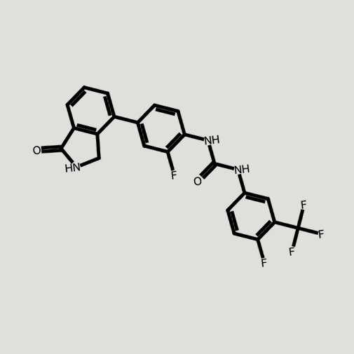 O=C(Nc1ccc(F)c(C(F)(F)F)c1)Nc1ccc(-c2cccc3c2CNC3=O)cc1F